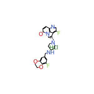 Cl.O=c1ccc2ncc(F)c3c2n1C[C@H]3CN1CCC(NCc2cc(F)c3c(c2)OCCO3)CC1